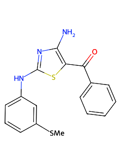 CSc1cccc(Nc2nc(N)c(C(=O)c3ccccc3)s2)c1